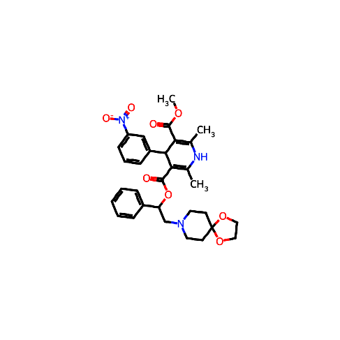 COC(=O)C1=C(C)NC(C)=C(C(=O)OC(CN2CCC3(CC2)OCCO3)c2ccccc2)C1c1cccc([N+](=O)[O-])c1